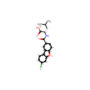 CC(C)C[C@H](NC(=O)c1ccc2oc3cc(Br)ccc3c2c1)C(=O)O